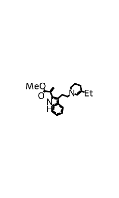 C=C(C(=O)OC)c1[nH]c2ccccc2c1CCN1C=C(CC)CCC1